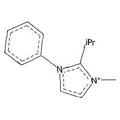 CC(C)c1n(-c2ccccc2)cc[n+]1C